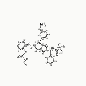 CCOC(=O)Cc1ccccc1OCc1cc(-c2cccc(CN)c2)c2oc(C(N[S+]([O-])C(C)(C)C)c3ccccc3)cc2c1